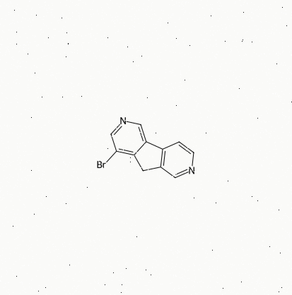 Brc1cncc2c1Cc1cnccc1-2